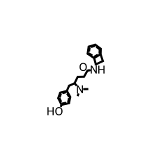 CN(C)C(CCC(=O)NC1Cc2ccccc21)Cc1ccc(O)cc1